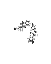 O=C(Nc1ccc(Oc2ccc3ncc(NCCO)nc3c2)cc1)Nc1ccc(F)c(F)c1